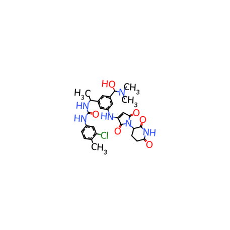 Cc1ccc(NC(=O)NC(C)c2cc(NC3=CC(=O)N(C4CCC(=O)NC4=O)C3=O)cc(C(O)N(C)C)c2)cc1Cl